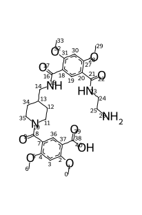 COc1cc(OC)c(C(=O)N2CCC(CNC(=O)c3cc(C(=O)NCCN)c(OC)cc3OC)CC2)cc1C(=O)O